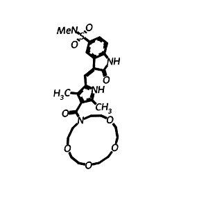 CNS(=O)(=O)c1ccc2c(c1)/C(=C/c1[nH]c(C)c(C(=O)N3CCOCCOCCOCCOCC3)c1C)C(=O)N2